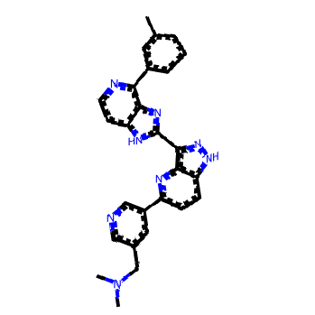 Cc1cccc(-c2nccc3[nH]c(-c4n[nH]c5ccc(-c6cncc(CN(C)C)c6)nc45)nc23)c1